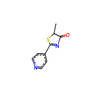 CC1SC(c2ccncc2)=NC1=O